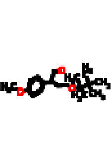 COc1ccc(C(C=O)CCO[Si](C)(C)C(C)(C)C)cc1